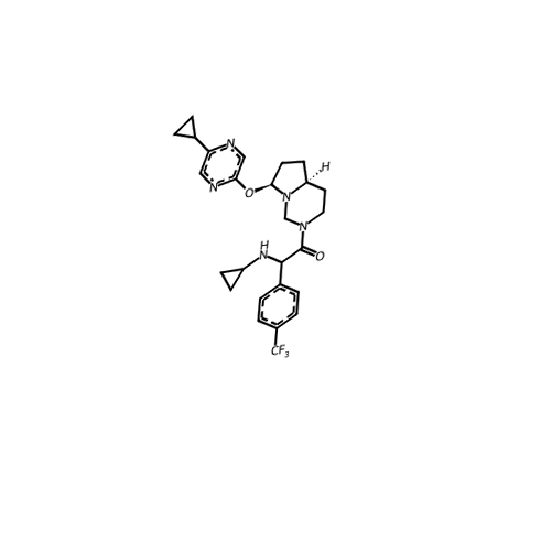 O=C(C(NC1CC1)c1ccc(C(F)(F)F)cc1)N1CC[C@@H]2CC[C@H](Oc3cnc(C4CC4)cn3)N2C1